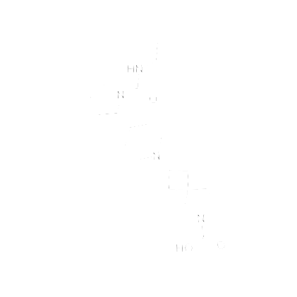 CCNC(=O)N1CCCC1C1CCN(C2CC3(CCN(C(=O)O)C3)C2)CC1